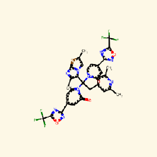 Cc1cc(CC(c2c(C)nc3sc(C)cn23)(n2ccc(-c3noc(C(F)(F)F)n3)cc2=O)n2ccc(-c3noc(C(F)(F)F)n3)cc2=O)cc(C)n1